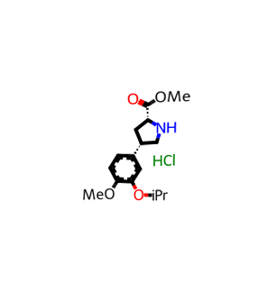 COC(=O)[C@H]1C[C@@H](c2ccc(OC)c(OC(C)C)c2)CN1.Cl